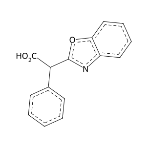 O=C(O)C(c1ccccc1)c1nc2ccccc2o1